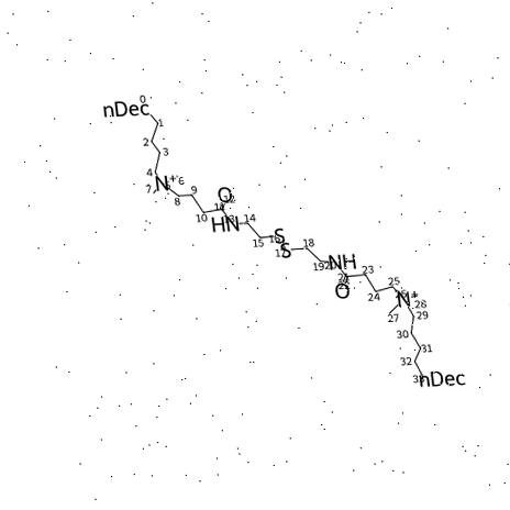 CCCCCCCCCCCCCC[N+](C)(C)CCCC(=O)NCCSSCCNC(=O)CCC[N+](C)(C)CCCCCCCCCCCCCC